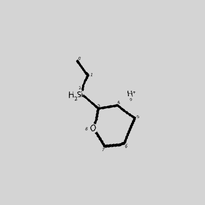 CC[SiH2]C1CCCCO1.[H+]